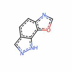 c1nc2ccc3cn[nH]c3c2o1